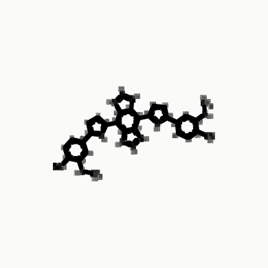 N#Cc1ccc(-c2ccc(-c3c4c(c(-c5ccc(-c6ccc(C#N)c(SC(F)(F)F)c6)s5)c5nsnc35)N=S=N4)s2)cc1SC(F)(F)F